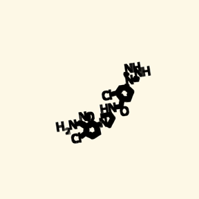 N=CN(C=N)c1ccc(C(=O)N[C@@H]2CCN(c3ccc(Cl)c4c(N)noc34)C2)c(Cl)c1